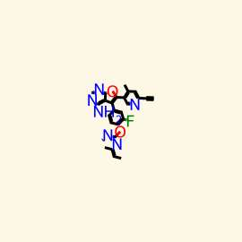 C#Cc1cc(C)c(-c2oc3ncnc(N)c3c2-c2ccc(O/C(N=C)=N/C(C)=C\C)c(F)c2)cn1